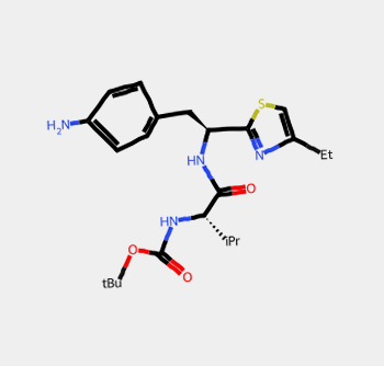 CCc1csc([C@H](Cc2ccc(N)cc2)NC(=O)[C@@H](NC(=O)OC(C)(C)C)C(C)C)n1